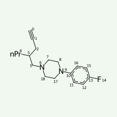 C#CCC(CCC)CN1CCN(c2ccc(F)cc2)CC1